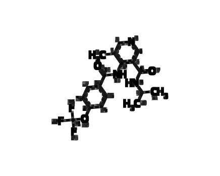 Cc1cncc(C(=O)NC(C)C)c1NC(=O)c1ccc(OC(F)(F)F)cc1